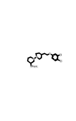 CCCCCC1CCCN(N2CCC(CCOc3ccc(Cl)c(Cl)c3)CC2)C1